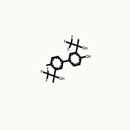 Cc1ccc(-c2ccc(O)c(C(C)(O)C(F)(F)F)c2)cc1C(C)(O)C(F)(F)F